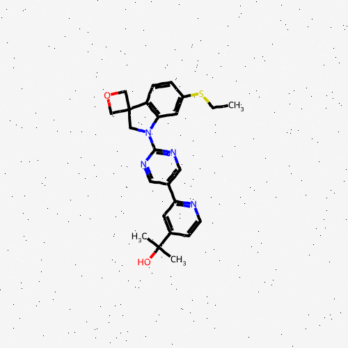 CCSc1ccc2c(c1)N(c1ncc(-c3cc(C(C)(C)O)ccn3)cn1)CC21COC1